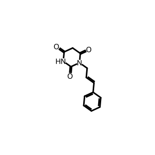 O=C1CC(=O)N(CC=Cc2ccccc2)C(=O)N1